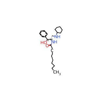 CCCCCCCCCC(=O)N[C@@H](CNC1CCCCC1)[C@@H](O)c1ccccc1